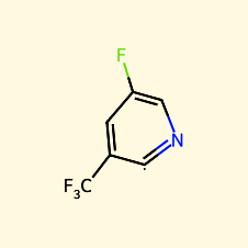 Fc1cn[c]c(C(F)(F)F)c1